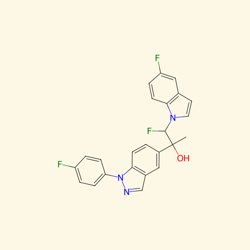 CC(O)(c1ccc2c(cnn2-c2ccc(F)cc2)c1)C(F)n1ccc2cc(F)ccc21